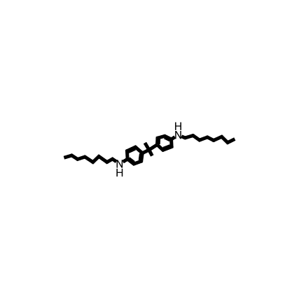 CCCCCCCCNc1ccc(C(C)(C)c2ccc(NCCCCCCCC)cc2)cc1